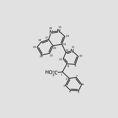 O=C(O)C(c1ccccc1)c1ccnc(-c2cnnc3ccccc23)c1